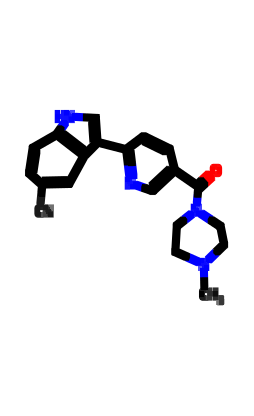 CN1CCN(C(=O)c2ccc(-c3c[nH]c4ccc(C#N)cc34)nc2)CC1